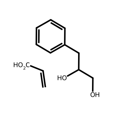 C=CC(=O)O.OCC(O)Cc1ccccc1